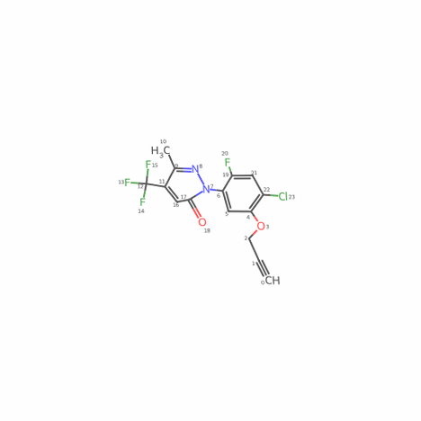 C#CCOc1cc(-n2nc(C)c(C(F)(F)F)cc2=O)c(F)cc1Cl